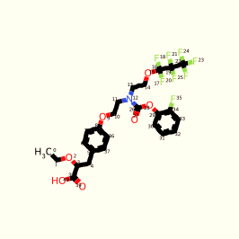 CCOC(Cc1ccc(OCCN(CCOC(F)(F)C(F)(F)C(F)(F)F)C(=O)Oc2ccccc2F)cc1)C(=O)O